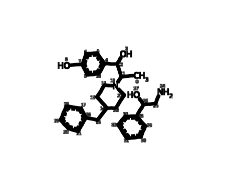 CC(C(O)c1ccc(O)cc1)N1CCC(Cc2ccccc2)CC1.NCC(O)c1ccccc1